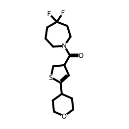 O=C(C1C=C(C2CCOCC2)SC1)N1CCCC(F)(F)CC1